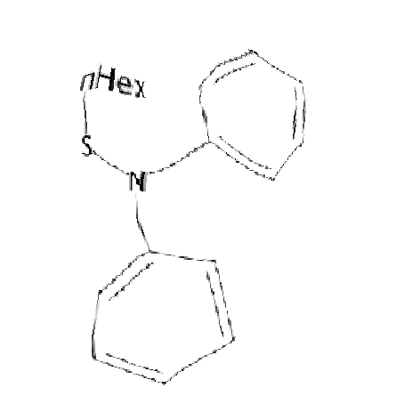 CCCCCCSN(c1ccccc1)c1ccccc1